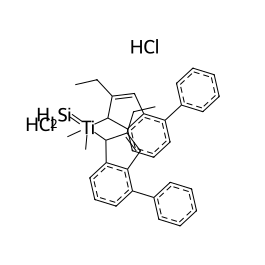 CCC1=Cc2c(-c3ccccc3)cccc2[CH]1[Ti]([CH3])([CH3])(=[SiH2])[CH]1C(CC)=Cc2c(-c3ccccc3)cccc21.Cl.Cl